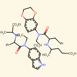 CC(C)CC(NC(CCC(=O)O)C(=O)O)C(=O)N(CC(=O)O)c1ccc2c(c1)OCCO2.CCOC(=O)C(C)NC(C(=O)N(CC(=O)O)c1ccc2[nH]ccc2c1)C(C)C